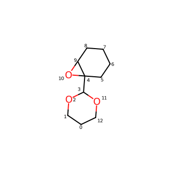 C1COC(C23CCCCC2O3)OC1